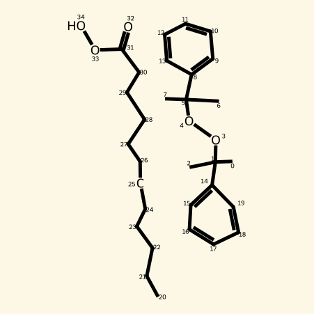 CC(C)(OOC(C)(C)c1ccccc1)c1ccccc1.CCCCCCCCCCCC(=O)OO